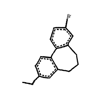 CCc1ccc2c(c1)CCCc1cc(Br)ccc1-2